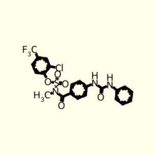 CN(C(=O)c1ccc(NC(=O)Nc2ccccc2)cc1)S(=O)(=O)Oc1ccc(C(F)(F)F)cc1Cl